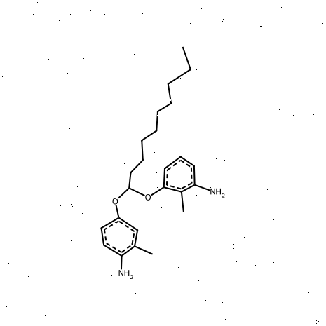 CCCCCCCCCC(Oc1ccc(N)c(C)c1)Oc1cccc(N)c1C